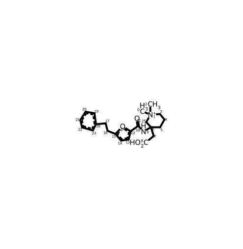 C[N+]1(C)CCCC(CC(=O)O)(NC(=O)c2ccc(CCc3ccccc3)o2)C1